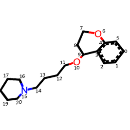 c1ccc2c(c1)OCCC2OCCCCN1CCCCC1